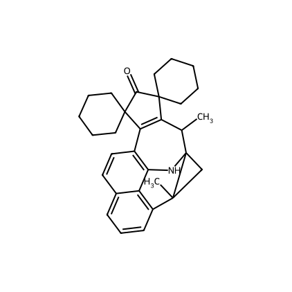 CC1C2=C(c3ccc4cccc5c4c3NC13CC53C)C1(CCCCC1)C(=O)C21CCCCC1